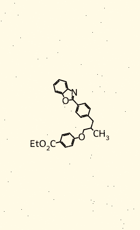 CCOC(=O)c1ccc(OCC(C)Cc2ccc(-c3nc4ccccc4o3)cc2)cc1